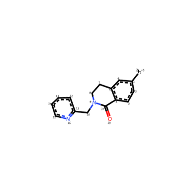 [2H]c1ccc2c(c1)CCN(Cc1ccccn1)C2=O